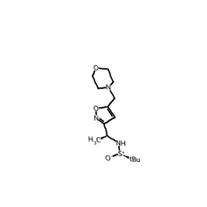 C[C@H](N[S@+]([O-])C(C)(C)C)c1cc(CN2CCOCC2)on1